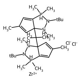 CC1=CC2(C(C)(C)C34C=C(C)C=C3[PH](C)(C)N(C(C)(C)C)[SiH]4C)C(=C1)[PH](C)(C)N(C(C)(C)C)[SiH]2C.[Cl-].[Cl-].[Zr+2]